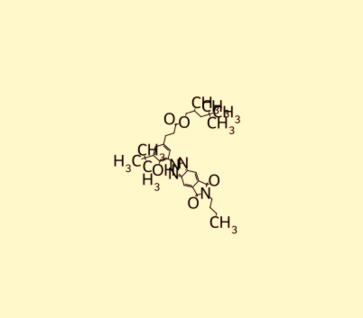 CCCCN1C(=O)c2cc3nn(-c4cc(CCC(=O)OCC(C)CC(C)(C)C)cc(C(C)(C)C)c4O)nc3cc2C1=O